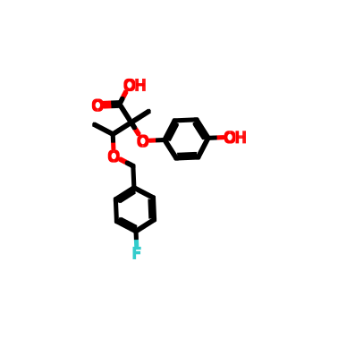 CC(OCc1ccc(F)cc1)C(C)(Oc1ccc(O)cc1)C(=O)O